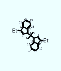 CCC1=CC(C(C)(C)C2C=C(CC)c3ccccc32)c2ccccc21